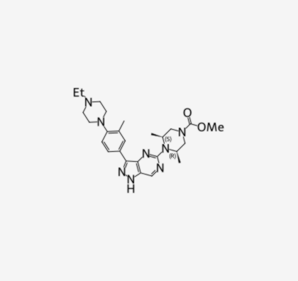 CCN1CCN(c2ccc(-c3n[nH]c4cnc(N5[C@H](C)CN(C(=O)OC)C[C@@H]5C)nc34)cc2C)CC1